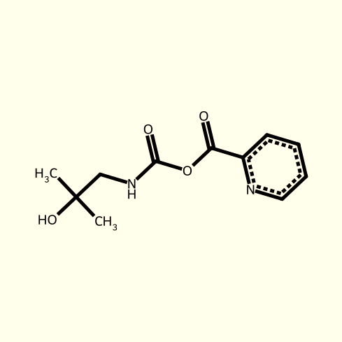 CC(C)(O)CNC(=O)OC(=O)c1ccccn1